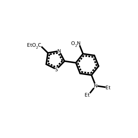 CCOC(=O)c1csc(-c2cc(N(CC)CC)ccc2[N+](=O)[O-])n1